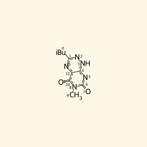 CCC(C)c1n[nH]c2nc(=O)n(C)c(=O)c-2n1